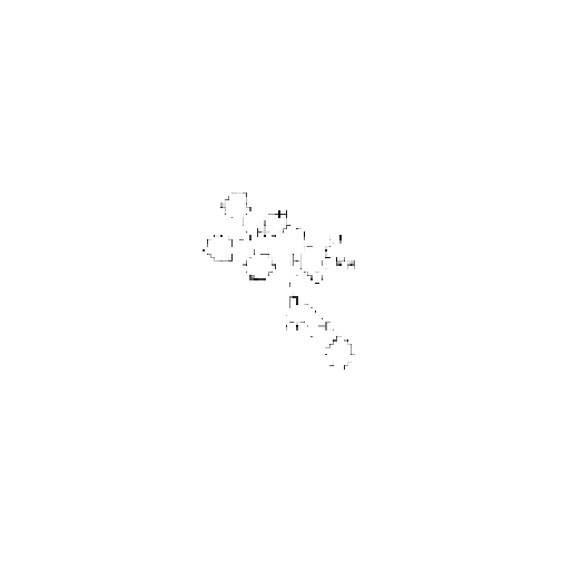 COC(=O)[C@H](Cc1cn(C(c2ccccc2)(c2ccccc2)c2ccccc2)cn1)NC(=O)CN(CCCc1ccccc1)CC(=O)O